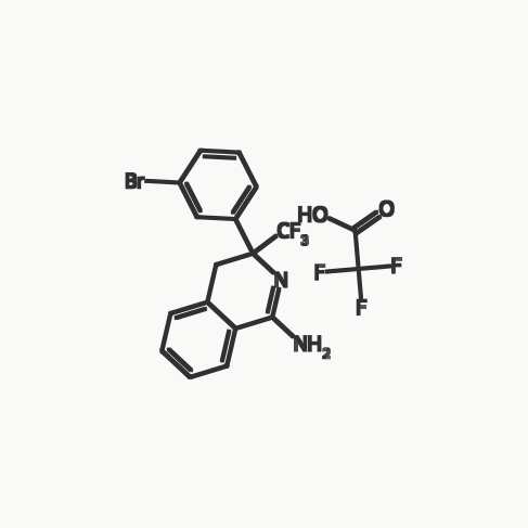 NC1=NC(c2cccc(Br)c2)(C(F)(F)F)Cc2ccccc21.O=C(O)C(F)(F)F